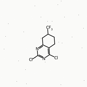 FC(F)(F)C1CCc2c(Cl)nc(Cl)nc2C1